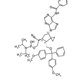 COc1ccc(C(OC[C@@H]2[C@@H](C(C#N)COP(O)N(C(C)C)C(C)C)C[C@H](n3cnc4c(NC(=O)c5ccccc5)ncnc43)C23CC3)(c2ccccc2)c2ccc(OC)cc2)cc1